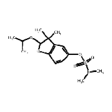 CC(C)OC1Oc2ccc(OS(=O)(=O)N(C)C)cc2C1(C)C